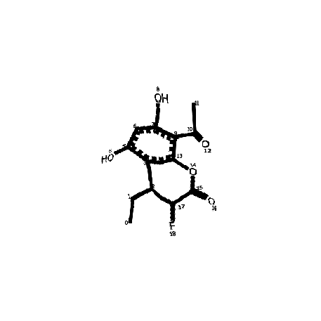 CCC1c2c(O)cc(O)c(C(C)=O)c2OC(=O)C1F